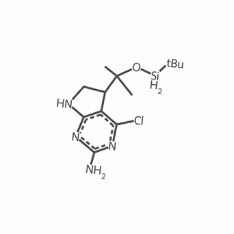 CC(C)(C)[SiH2]OC(C)(C)C1CNc2nc(N)nc(Cl)c21